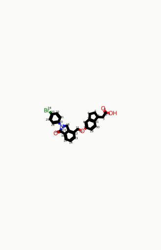 O=C(O)CC1CCc2cc(OCc3cccc4c3CN(c3ccc(Br)cc3)C4=O)ccc21